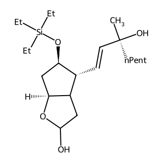 CCCCC[C@](C)(O)/C=C/[C@@H]1C2CC(O)O[C@H]2C[C@H]1O[Si](CC)(CC)CC